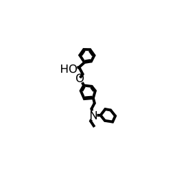 CCN(CCc1ccc(OCC(O)c2ccccc2)cc1)C1CCCCC1